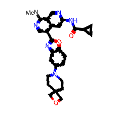 CNc1ncc(-c2nc3cc(N4CCC5(CC4)COC5)ccc3o2)c2cc(NC(=O)C3CC3)ncc12